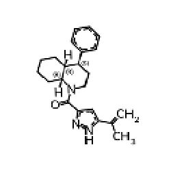 C=C(C)c1cc(C(=O)N2CC[C@H](c3ccccc3)[C@H]3CCCC[C@H]32)n[nH]1